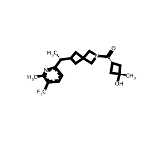 Cc1nc([C@H](C)C2CC3(C2)CN(C(=O)[C@H]2C[C@@](C)(O)C2)C3)ccc1C(F)(F)F